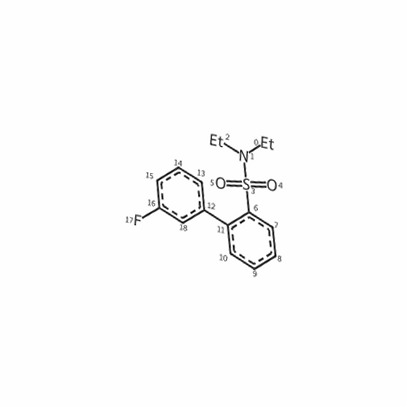 CCN(CC)S(=O)(=O)c1ccccc1-c1cccc(F)c1